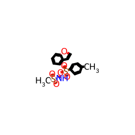 Cc1ccc(S(=O)(=O)ONS(C)(=O)=O)cc1.c1ccc2occc2c1